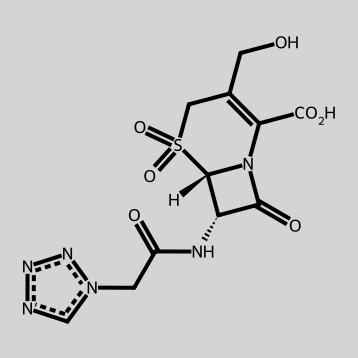 O=C(Cn1cnnn1)N[C@H]1C(=O)N2C(C(=O)O)=C(CO)CS(=O)(=O)[C@@H]12